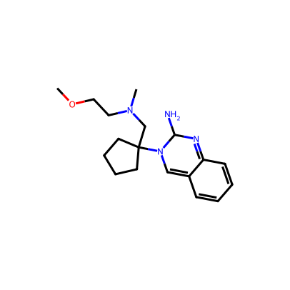 COCCN(C)CC1(N2C=c3ccccc3=NC2N)CCCC1